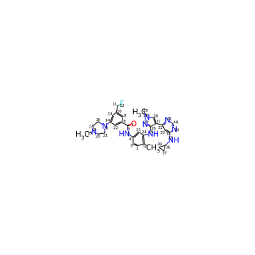 Cc1ccc(NC(=O)c2cc(CF)cc(N3CCN(C)CC3)c2)cc1Nc1nn(C)cc1-c1cc(NC2CC2)ncn1